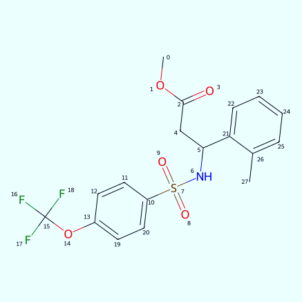 COC(=O)CC(NS(=O)(=O)c1ccc(OC(F)(F)F)cc1)c1ccccc1C